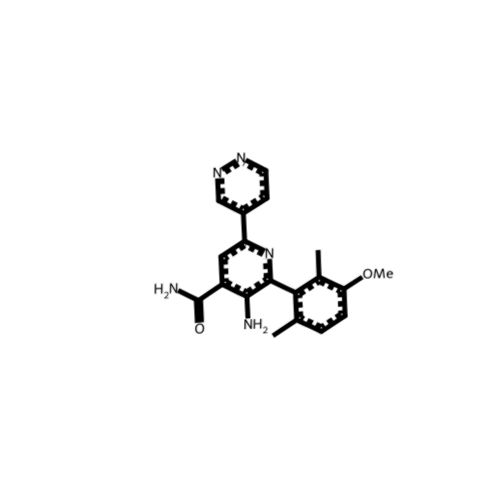 COc1ccc(C)c(-c2nc(-c3ccnnc3)cc(C(N)=O)c2N)c1C